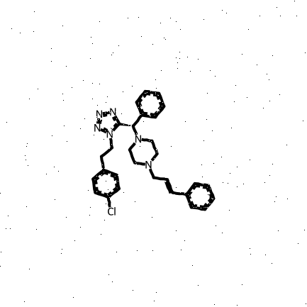 Clc1ccc(CCn2nnnc2[C@@H](c2ccccc2)N2CCN(C/C=C/c3ccccc3)CC2)cc1